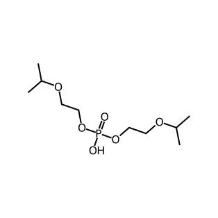 CC(C)OCCOP(=O)(O)OCCOC(C)C